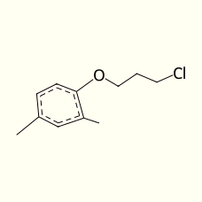 Cc1ccc(OCCCCl)c(C)c1